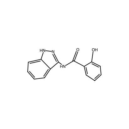 O=C(Nc1n[nH]c2ccccc12)c1ccccc1O